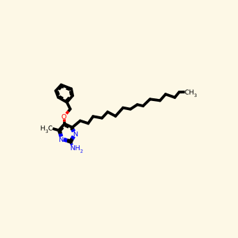 CCCCCCCCCCCCCCCCc1nc(N)nc(C)c1OCc1ccccc1